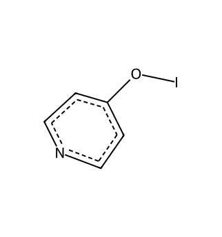 IOc1ccncc1